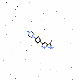 CN1CCN(c2ccc(-c3cnc4[nH]cc(I)c4c3)cc2)CC1